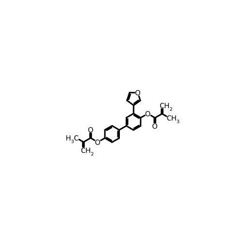 C=C(C)C(=O)Oc1ccc(-c2ccc(OC(=O)C(=C)C)c(-c3ccoc3)c2)cc1